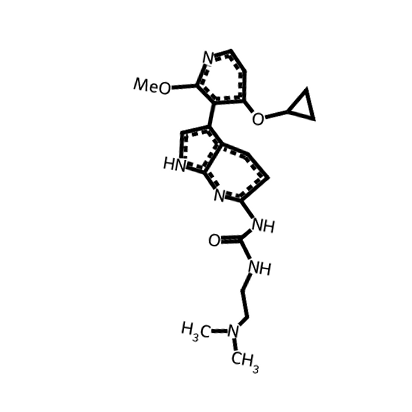 COc1nccc(OC2CC2)c1-c1c[nH]c2nc(NC(=O)NCCN(C)C)ccc12